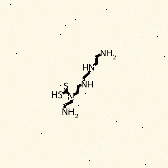 NCCNCCNCCN(CCN)C(=S)S